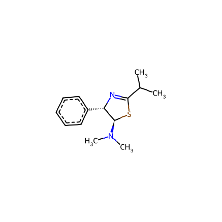 CC(C)C1=N[C@@H](c2ccccc2)[C@H](N(C)C)S1